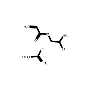 C=C(CC)C(=O)OCC.C=CC(=O)OCC(CC)CCCC